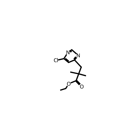 CCOC(=O)C(C)(C)Cc1cc(Cl)ncn1